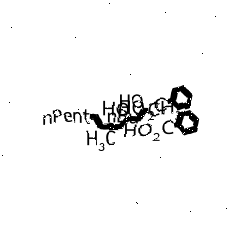 CCCCCC=CC(C)(CCCC)CC(O)CC(C)O.O=C(O)c1ccccc1.O=C(O)c1ccccc1